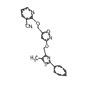 Cc1sc(-c2ccccc2)nc1COc1cc(COc2ncccc2C#N)on1